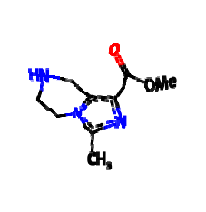 COC(=O)c1nc(C)n2c1CNCC2